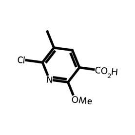 COc1nc(Cl)c(C)cc1C(=O)O